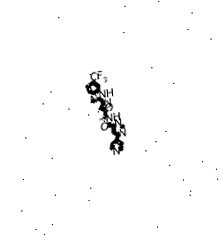 C[C@@H](NC(=O)c1cc(-c2ccncc2)ncn1)c1cc(C2Nc3cc(C(F)(F)F)ccc3N2C)no1